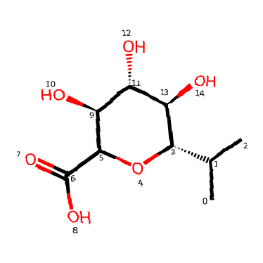 CC(C)[C@@H]1OC(C(=O)O)[C@@H](O)[C@H](O)[C@H]1O